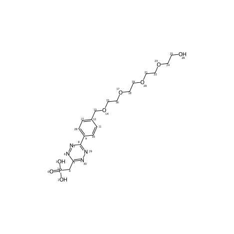 O=P(O)(O)Cc1nnc(-c2ccc(COCCOCCOCCOCCO)cc2)nn1